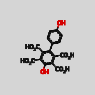 O=C(O)c1c(O)c(C(=O)O)c(C(=O)O)c(-c2ccc(O)cc2)c1C(=O)O